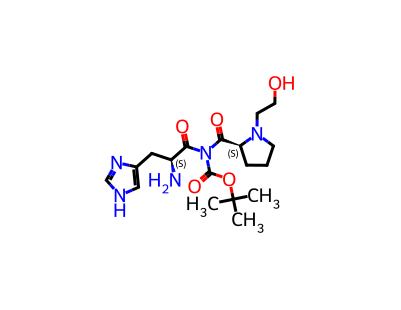 CC(C)(C)OC(=O)N(C(=O)[C@@H](N)Cc1c[nH]cn1)C(=O)[C@@H]1CCCN1CCO